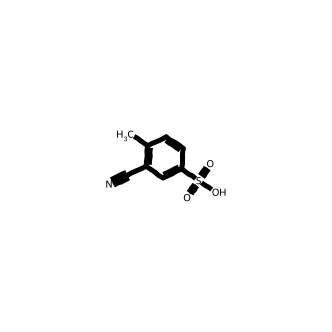 Cc1ccc(S(=O)(=O)O)cc1C#N